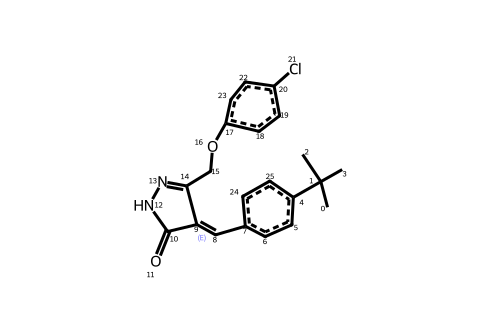 CC(C)(C)c1ccc(/C=C2/C(=O)NN=C2COc2ccc(Cl)cc2)cc1